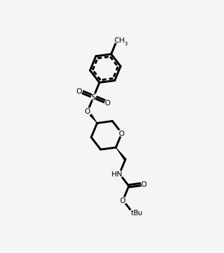 Cc1ccc(S(=O)(=O)O[C@@H]2CC[C@H](CNC(=O)OC(C)(C)C)OC2)cc1